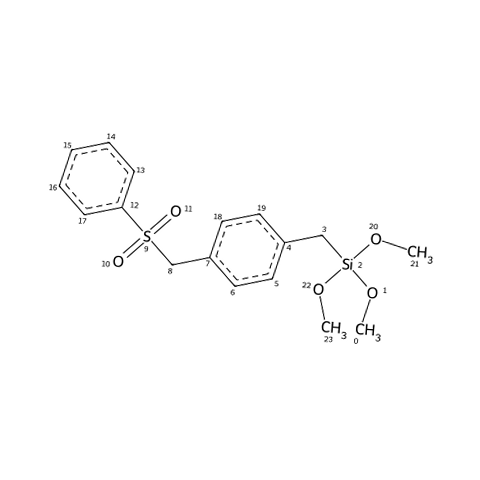 CO[Si](Cc1ccc(CS(=O)(=O)c2ccccc2)cc1)(OC)OC